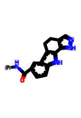 CC(C)NC(=O)c1ccc2[nH]c3c(c2c1)CCc1cn[nH]c1-3